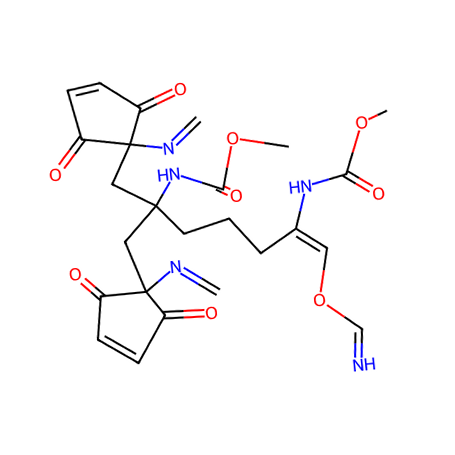 C=NC1(CC(CCC/C(=C\OC=N)NC(=O)OC)(CC2(N=C)C(=O)C=CC2=O)NC(=O)OC)C(=O)C=CC1=O